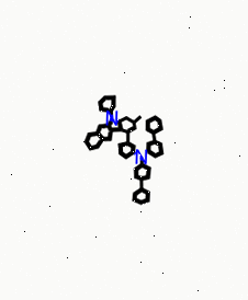 CC1C=C(c2cccc(N(c3ccc(-c4ccccc4)cc3)c3cccc(-c4ccccc4)c3)c2)c2c(n(-c3ccccc3)c3cc4ccccc4cc23)C1